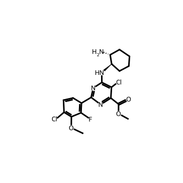 COC(=O)c1nc(-c2ccc(Cl)c(OC)c2F)nc(N[C@@H]2CCCC[C@H]2N)c1Cl